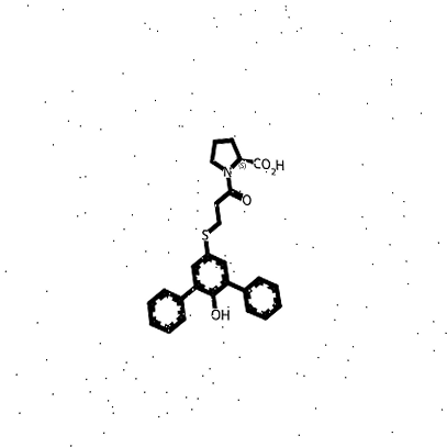 O=C(O)[C@@H]1CCCN1C(=O)CCSc1cc(-c2ccccc2)c(O)c(-c2ccccc2)c1